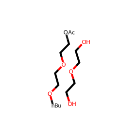 CCCCOCCOCCOC(C)=O.OCCOCCO